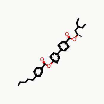 CCCCCc1ccc(C(=O)Oc2ccc(-c3ccc(C(=O)O[C@H](C)CC(CC)CC)cc3)cc2)cc1